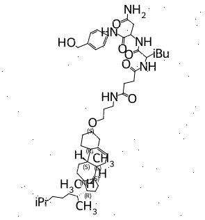 CCC(C)C(NC(=O)CCC(=O)NCCCO[C@H]1CC[C@@]2(C)C(=CC[C@H]3[C@@H]4CC[C@H](C(C)CCCC(C)C)[C@@]4(C)CC[C@@H]32)C1)C(=O)NC(CC(N)=O)C(=O)Nc1ccc(CO)cc1